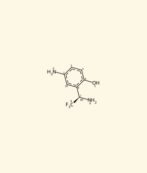 Nc1ccc(O)c([C@@H](N)C(F)(F)F)c1